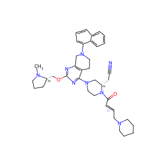 CN1CCC[C@H]1COc1nc2c(c(N3CCN(C(=O)/C=C/CN4CCCCC4)[C@@H](CC#N)C3)n1)CCN(c1cccc3ccccc13)C2